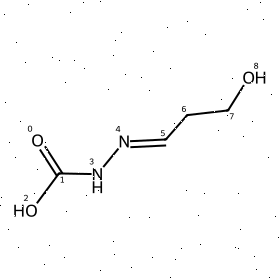 O=C(O)NN=CCCO